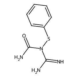 N=C(N)N(Sc1ccccc1)C(N)=O